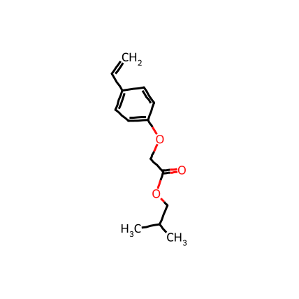 C=Cc1ccc(OCC(=O)OCC(C)C)cc1